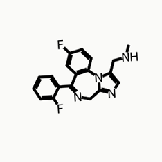 CNCc1cnc2n1-c1ccc(F)cc1C(c1ccccc1F)=NC2